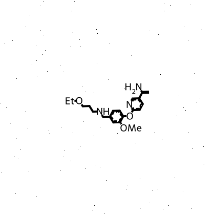 C=C(N)c1ccc(Oc2ccc(CNCCCOCC)cc2OC)nc1